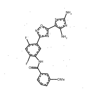 COc1cccc(C(=O)Nc2cc(-c3noc(-c4sc(N)nc4N)n3)c(F)cc2F)c1